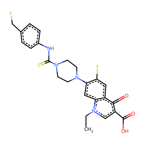 CCn1cc(C(=O)O)c(=O)c2cc(F)c(N3CCN(C(=S)Nc4ccc(CF)cc4)CC3)cc21